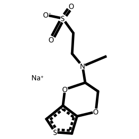 CN(CCS(=O)(=O)[O-])C1COc2cscc2O1.[Na+]